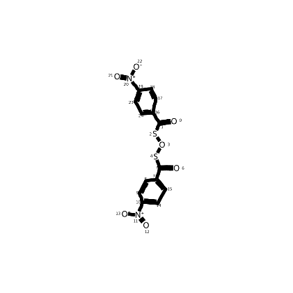 O=C(SOSC(=O)c1ccc([N+](=O)[O-])cc1)c1ccc([N+](=O)[O-])cc1